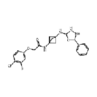 O=C(COc1ccc(Cl)c(F)c1)NC12CC(NC3NNC(c4ccccc4)O3)(C1)C2